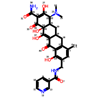 CCc1cc(CNC(=O)c2cccnc2)c(O)c2c1CC1CC3[C@H](N(C)C)C(O)=C(C(N)=O)C(=O)[C@@]3(O)C(O)=C1C2=O